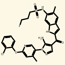 Cc1cc2cc(C(=O)c3cnn(-c4cnc(Oc5ccccc5Cl)cc4C)c3N)[nH]c2cc1NS(=O)(=O)CCCF